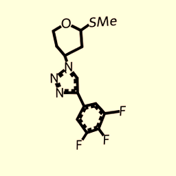 CSC1CC(n2cc(-c3cc(F)c(F)c(F)c3)nn2)CCO1